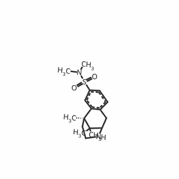 CN(C)S(=O)(=O)c1ccc2c(c1)[C@]1(C)CCNC(C2)C1(C)C